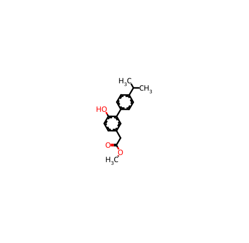 COC(=O)Cc1ccc(O)c(-c2ccc(C(C)C)cc2)c1